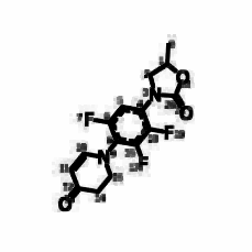 CC1CN(c2cc(F)c(N3C=CC(=O)CC3)c(F)c2F)C(=O)O1